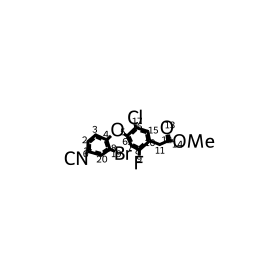 [C-]#[N+]c1ccc(Oc2cc(F)c(CC(=O)OC)cc2Cl)c(Br)c1